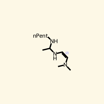 CCCCCNC(C)N/C=C\N(C)C